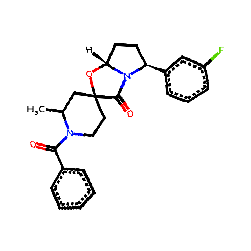 CC1CC2(CCN1C(=O)c1ccccc1)O[C@@H]1CC[C@@H](c3cccc(F)c3)N1C2=O